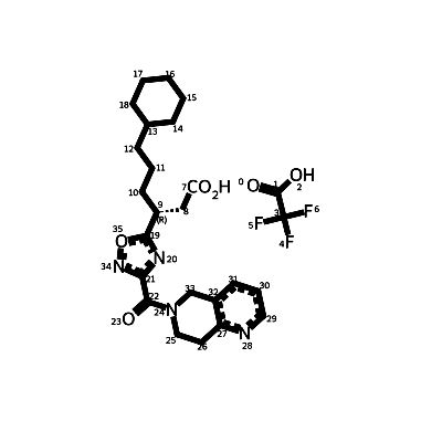 O=C(O)C(F)(F)F.O=C(O)C[C@@H](CCCC1CCCCC1)c1nc(C(=O)N2CCc3ncccc3C2)no1